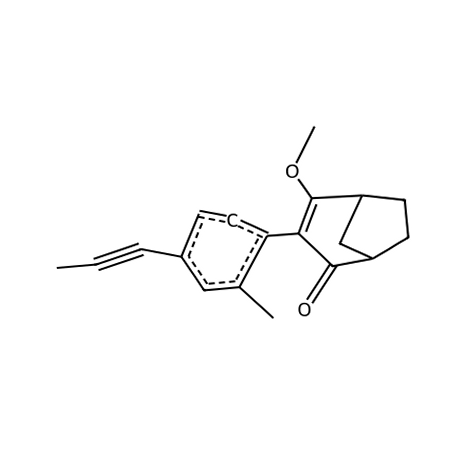 CC#Cc1ccc(C2=C(OC)C3CCC(C3)C2=O)c(C)c1